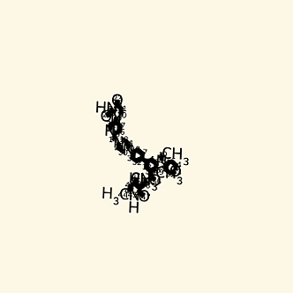 CCN(c1cc(-c2ccc(N3CCN(Cc4ccc(N5CCC(=O)NC5=O)cn4)CC3)cc2)cc(C(=O)NCc2c(C)cc(C)[nH]c2=O)c1C)C1CCOCC1